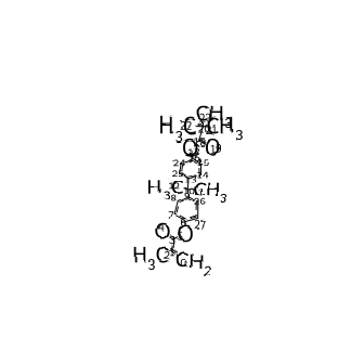 C=C(C)C(=O)Oc1ccc(C(C)(C)c2ccc(OC(=O)C(C)(C)C)cc2)cc1